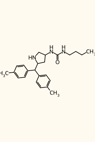 CCCCNC(=O)NC1CNC(C(c2ccc(C)cc2)c2ccc(C)cc2)C1